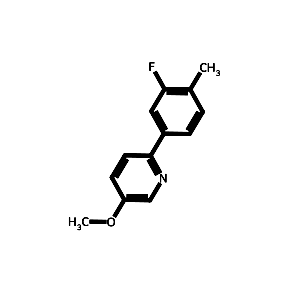 COc1ccc(-c2ccc(C)c(F)c2)nc1